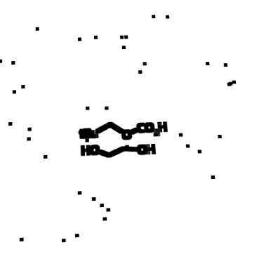 CC(C)(C)COC(=O)O.OCCO